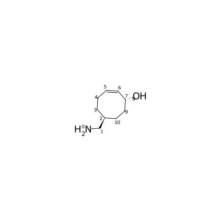 NC[C@H]1CC/C=C\[C@H](O)CC1